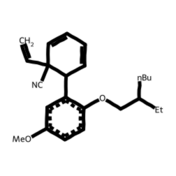 C=CC1(C#N)C=CC=CC1c1cc(OC)ccc1OCC(CC)CCCC